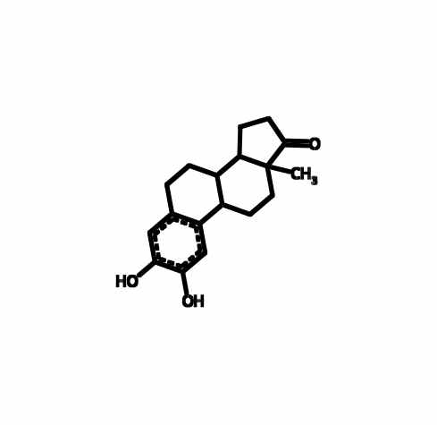 CC12CCC3c4cc(O)c(O)cc4CCC3C1CCC2=O